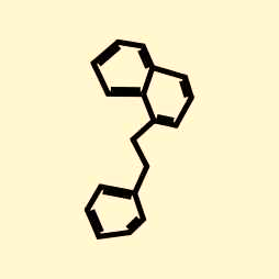 c1ccc(CCc2cccc3ccccc23)cc1